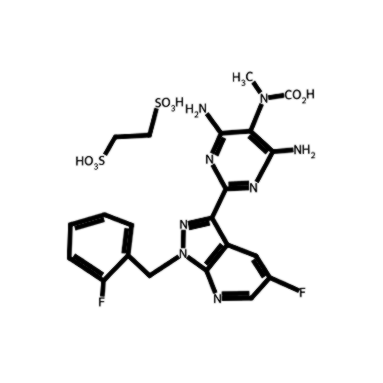 CN(C(=O)O)c1c(N)nc(-c2nn(Cc3ccccc3F)c3ncc(F)cc23)nc1N.O=S(=O)(O)CCS(=O)(=O)O